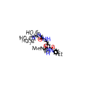 CCc1ccc(NC(=O)[C@H](CCCCNC(=O)CN(CCN(CC(=O)O)CC(=O)O)CC(=O)O)NC(=O)[C@@H](NC)C(C)C)cc1